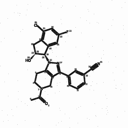 CC(=O)N1CCc2c(c(-c3cccc(C#N)c3)nn2[C@@H]2c3cc(F)cc(Cl)c3C[C@H]2O)C1